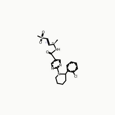 C[C@H](/C=C/S(C)(=O)=O)NC(=O)c1cnc(N2CCCCC2c2ccccc2Cl)nc1